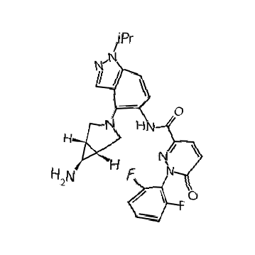 CC(C)n1ncc2c(N3C[C@@H]4[C@@H](N)[C@@H]4C3)c(NC(=O)c3ccc(=O)n(-c4c(F)cccc4F)n3)ccc21